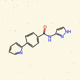 O=C(Nc1cc[nH]n1)c1ccc(-c2ccccn2)cc1